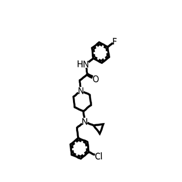 O=C(CN1CCC(N(Cc2cccc(Cl)c2)C2CC2)CC1)Nc1ccc(F)cc1